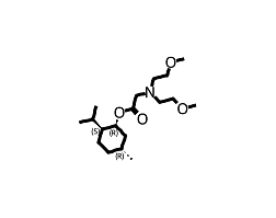 COCCN(CCOC)CC(=O)O[C@@H]1C[C@H](C)CC[C@H]1C(C)C